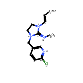 COC=CN1CCN(Cc2ccc(Cl)nc2)/C1=N/[N+](=O)[O-]